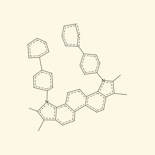 Cc1c(C)n(-c2ccc(-c3ccccc3)cc2)c2c1ccc1c3ccc4c(C)c(C)n(-c5ccc(-c6ccccc6)cc5)c4c3ccc12